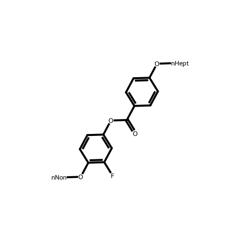 CCCCCCCCCOc1ccc(OC(=O)c2ccc(OCCCCCCC)cc2)cc1F